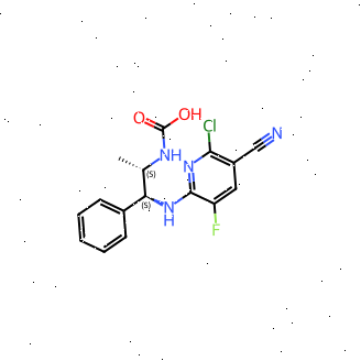 C[C@H](NC(=O)O)[C@@H](Nc1nc(Cl)c(C#N)cc1F)c1ccccc1